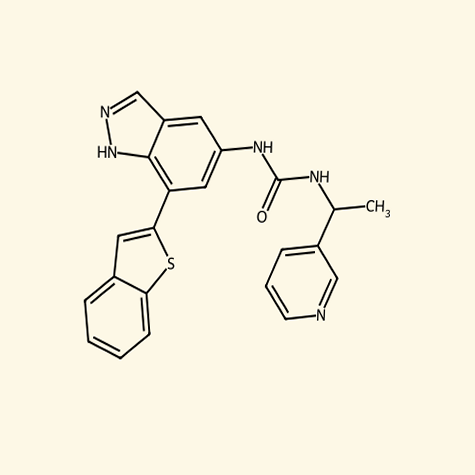 CC(NC(=O)Nc1cc(-c2cc3ccccc3s2)c2[nH]ncc2c1)c1cccnc1